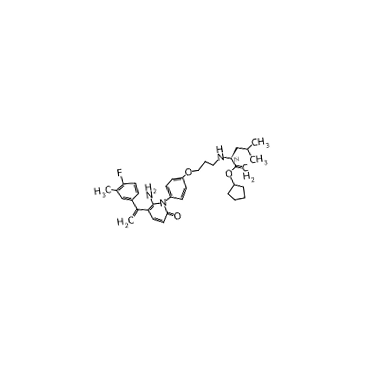 C=C(c1ccc(F)c(C)c1)c1ccc(=O)n(-c2ccc(OCCCN[C@@H](CC(C)C)C(=C)OC3CCCC3)cc2)c1N